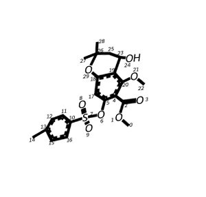 COC(=O)c1c(OS(=O)(=O)c2ccc(C)cc2)cc2c(c1OC)C(O)CC(C)(C)O2